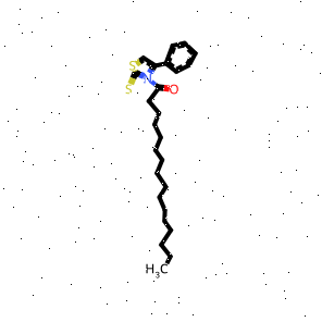 CCCCCCCCCCCCCCCC(=O)n1c(-c2ccccc2)csc1=S